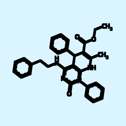 CCOC(=O)C1=C(C)Nc2c(c(NCCc3ccccc3)nc(=O)n2-c2ccccc2)C1c1ccccc1